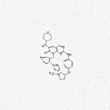 CN1CCC(Oc2ccc(Nc3ncc4cc(C(=O)C5CCOCC5)c(=O)n(Cc5cnccc5-c5nccs5)c4n3)cc2)C1